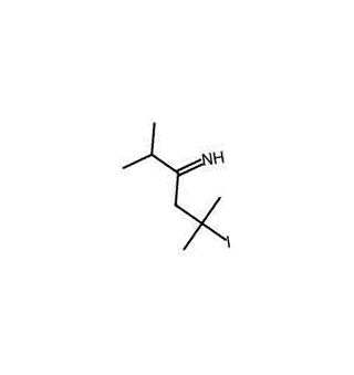 CC(C)C(=N)CC(C)(C)I